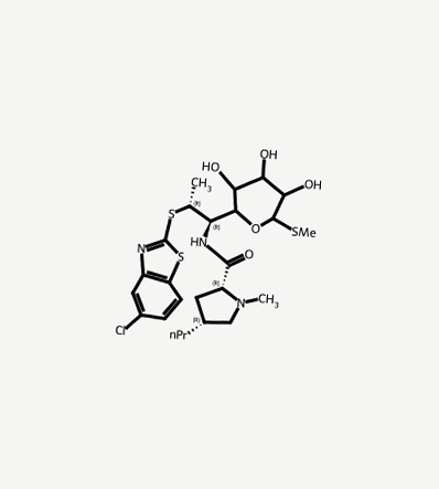 CCC[C@@H]1C[C@H](C(=O)N[C@H](C2OC(SC)C(O)C(O)C2O)[C@@H](C)Sc2nc3cc(Cl)ccc3s2)N(C)C1